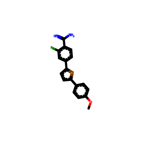 COc1ccc(-c2ccc(-c3ccc(C(=N)N)c(F)c3)s2)cc1